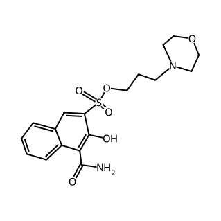 NC(=O)c1c(O)c(S(=O)(=O)OCCCN2CCOCC2)cc2ccccc12